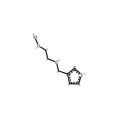 CCOCCOCc1ccsc1